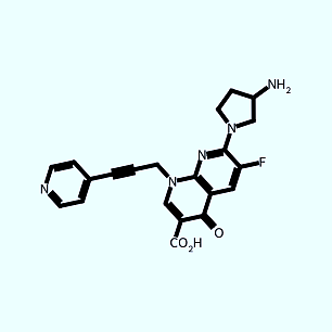 NC1CCN(c2nc3c(cc2F)c(=O)c(C(=O)O)cn3CC#Cc2ccncc2)C1